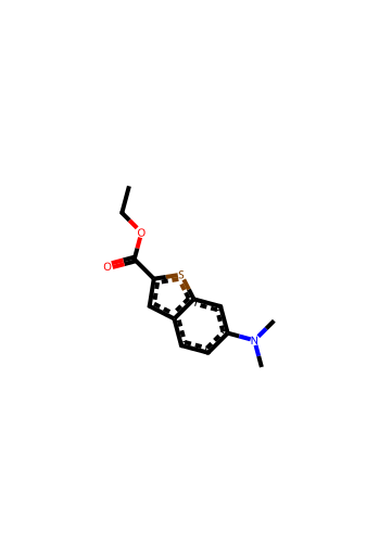 CCOC(=O)c1cc2ccc(N(C)C)cc2s1